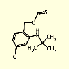 CC(C)(C)Nc1cc(Cl)ccc1COC=S